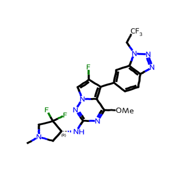 COc1nc(N[C@@H]2CN(C)CC2(F)F)nn2cc(F)c(-c3ccc4nnn(CC(F)(F)F)c4c3)c12